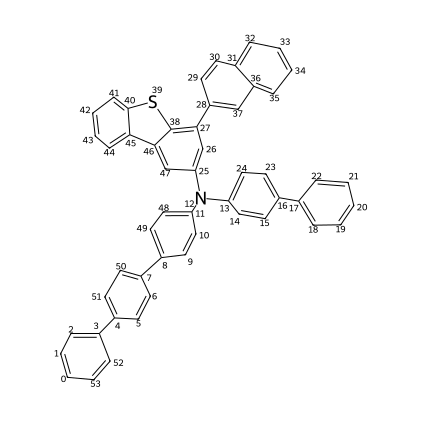 c1ccc(-c2ccc(-c3ccc(N(c4ccc(-c5ccccc5)cc4)c4cc(-c5ccc6ccccc6c5)c5sc6ccccc6c5c4)cc3)cc2)cc1